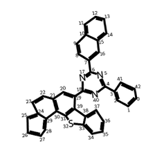 c1ccc(-c2nc(-c3ccc4ccccc4c3)nc(-c3cc4ccc5ccccc5c4c4sc5ccccc5c34)n2)cc1